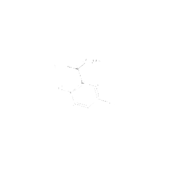 [CH2]C(OC)c1cc(F)ccc1Cl